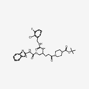 CN(C(=O)NCc1cccc(F)c1Cl)C(CCC(=O)N1CCN(C(=O)OC(C)(C)C)CC1)COC(=O)Nc1nc2ccccc2s1